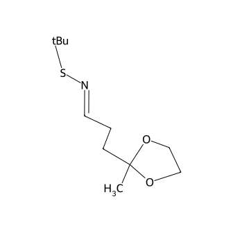 CC1(CC/C=N/SC(C)(C)C)OCCO1